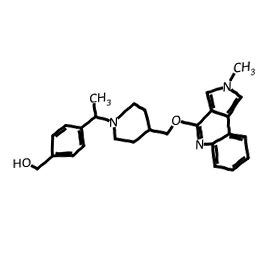 CC(c1ccc(CO)cc1)N1CCC(COc2nc3ccccc3c3cn(C)cc23)CC1